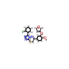 COc1ccc(C2=Nn3c(nnc3-c3ccccc3F)SC2)cc1O[C@@H]1CCOC1